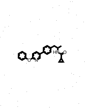 CC(Cc1ccc(-c2ccc(Oc3ccccc3)nc2)cc1)NC(=O)C1CC1